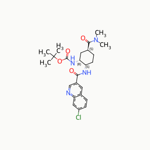 CN(C)C(=O)[C@H]1CC[C@H](NC(=O)c2cnc3cc(Cl)ccc3c2)[C@H](NC(=O)OC(C)(C)C)C1